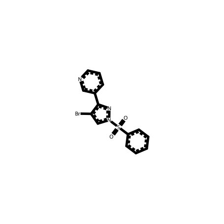 O=S(=O)(c1ccccc1)n1cc(Br)c(-c2cccnc2)n1